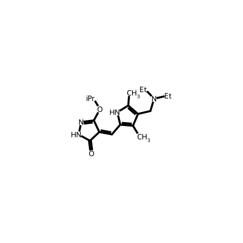 CCN(CC)Cc1c(C)[nH]c(/C=C2/C(=O)NN=C2OC(C)C)c1C